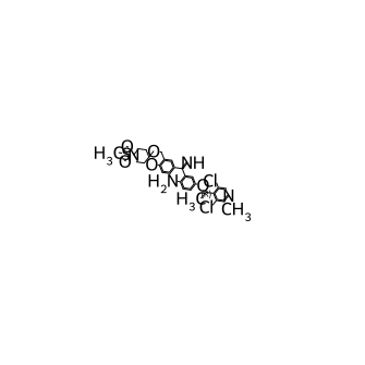 Cc1ncc(Cl)c([C@@H](C)Oc2ccc(N)c(C(=N)c3ccc4c(c3)COC3(CCN(S(C)(=O)=O)CC3)O4)c2)c1Cl